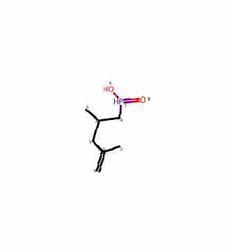 C=C(C)CC(C)C[PH](=O)O